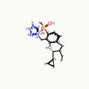 CCC([CH]c1ccc(S(C)(=O)=O)c(Cn2cnnn2)c1Cl)CC1CC1